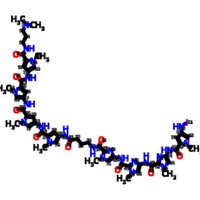 CN(C)CCCNC(=O)c1cc(NC(=O)c2cc(NC(=O)c3cc(NC(=O)c4cc(NC(=O)CCCNC(=O)c5nc(NC(=O)c6nc(NC(=O)c7nc(NC(=O)c8cc(NI)cn8C)cn7C)cn6C)cn5C)cn4C)cn3C)cn2C)cn1C